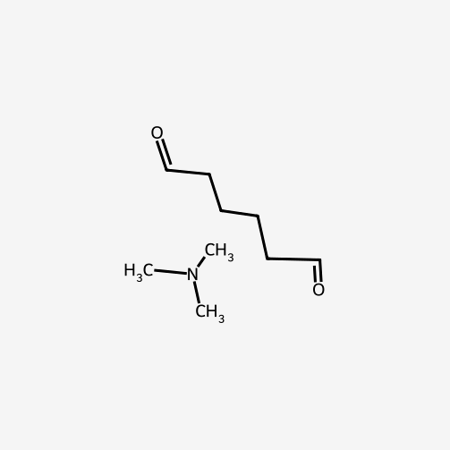 CN(C)C.O=CCCCCC=O